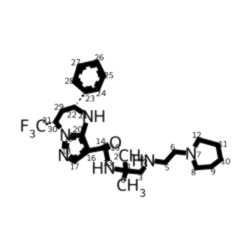 CC(C)(CNCCN1CCCCC1)NC(=O)c1cnn2c1N[C@@H](c1ccccc1)C[C@H]2C(F)(F)F